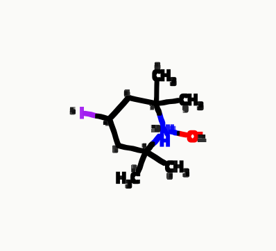 CC1(C)CC(I)CC(C)(C)[NH+]1[O-]